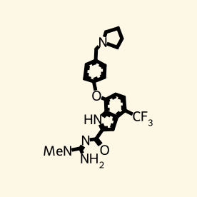 CNC(N)=NC(=O)c1cc2c(C(F)(F)F)ccc(Oc3ccc(CN4CCCC4)cc3)c2[nH]1